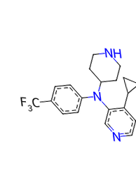 FC(F)(F)c1ccc(N(c2cnccc2C2CC2)C2CCNCC2)cc1